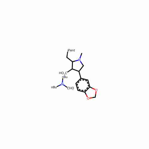 CCCC(C)CC1C(C(=O)O)C(c2ccc3c(c2)OCO3)CN1C.CCCCN(C=O)CCCC